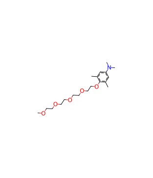 COCCOCCOCCOCCOc1c(C)cc(N(C)C)cc1C